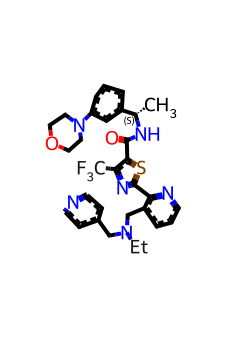 CCN(Cc1ccncc1)Cc1cccnc1-c1nc(C(F)(F)F)c(C(=O)N[C@@H](C)c2cccc(N3CCOCC3)c2)s1